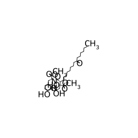 CCCCCCCC(=O)CCCCCC/C=C/[C@H](C(=O)N[C@@H](Cc1ccc(O)cc1)C(=O)OC)[C@@](O)(CC(=O)O)C(=O)OC